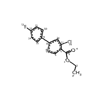 CCOC(=O)c1cnc(-c2ccc(F)cc2)cc1Cl